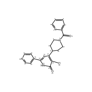 O=C(c1ccccn1)N1CCC(c2nc(-c3ccncc3)[nH]c(=O)c2Cl)CC1